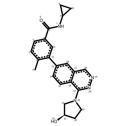 Cc1ccc(C(=O)NC2CC2)cc1-c1ccc2c(N3CC[C@@H](O)C3)nncc2c1